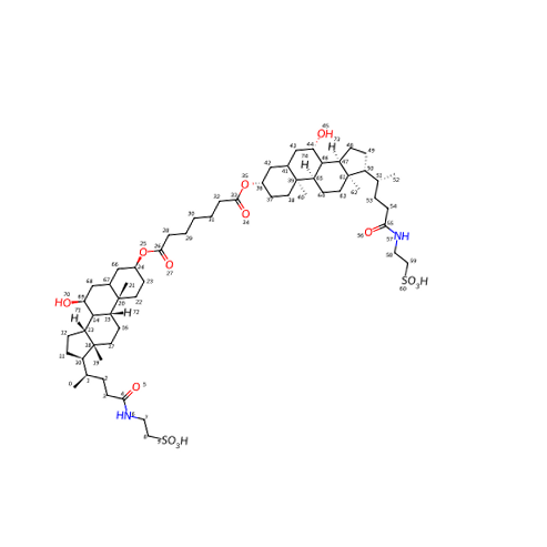 C[C@H](CCC(=O)NCCS(=O)(=O)O)[C@H]1CC[C@@H]2C3[C@@H](CC[C@@]21C)[C@@]1(C)CC[C@H](OC(=O)CCCCCC(=O)O[C@H]2CC[C@@]4(C)C(C2)C[C@H](O)C2[C@H]5CC[C@H]([C@H](C)CCC(=O)NCCS(=O)(=O)O)[C@@]5(C)CC[C@H]24)CC1C[C@@H]3O